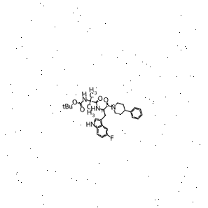 CC(C)(C)OC(=O)NC(C)(C)C(=O)N[C@H](Cc1c[nH]c2ccc(F)cc12)C(=O)N1CCC(c2ccccc2)CC1